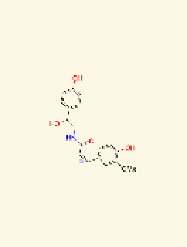 COc1cc(/C=C\C(=O)NCC(O)c2ccc(O)cc2)ccc1O